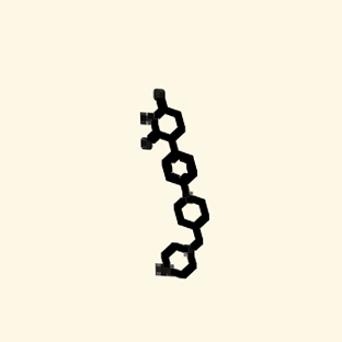 O=C1CCC(c2ccc(N3CCC(CN4CCNCC4)CC3)cc2)C(=O)N1